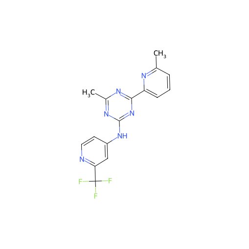 Cc1cccc(-c2nc(C)nc(Nc3ccnc(C(F)(F)F)c3)n2)n1